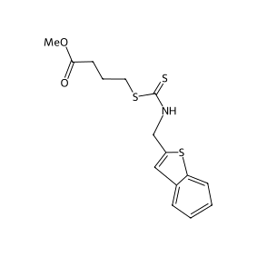 COC(=O)CCCSC(=S)NCc1cc2ccccc2s1